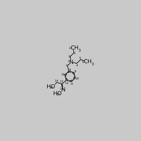 CCCN(CCC)Cc1cccc(C(CO)=NO)c1